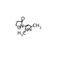 Cc1cc(N2OC[CH]C2=O)n(C)n1